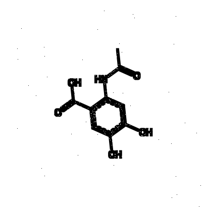 CC(=O)Nc1cc(O)c(O)cc1C(=O)O